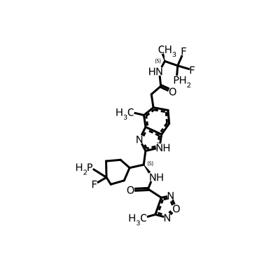 Cc1nonc1C(=O)N[C@H](c1nc2c(C)c(CC(=O)N[C@@H](C)C(F)(F)P)ccc2[nH]1)C1CCC(F)(P)CC1